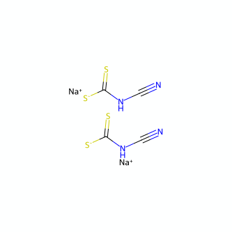 N#CNC(=S)[S-].N#CNC(=S)[S-].[Na+].[Na+]